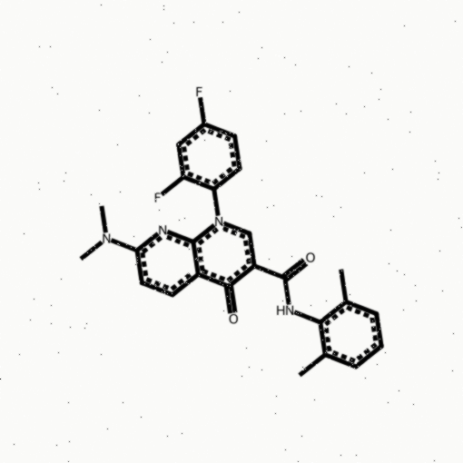 Cc1cccc(C)c1NC(=O)c1cn(-c2ccc(F)cc2F)c2nc(N(C)C)ccc2c1=O